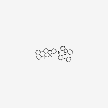 CC1(C)c2cc(N(c3cccc(-c4ccccc4)c3)c3cccc4c3oc3ccccc34)ccc2-c2ccc3c(c21)C(C)(C)c1cccc2cccc-3c12